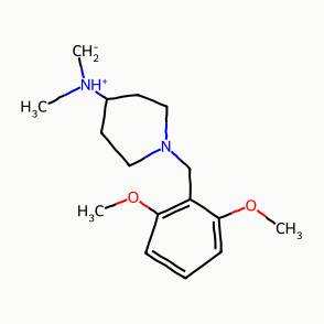 [CH2-][NH+](C)C1CCN(Cc2c(OC)cccc2OC)CC1